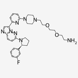 NCCOCCOCCN1CCN(c2cccc(-c3cnc4ccc(N5CCC[C@H]5c5cccc(F)c5)nn34)n2)CC1